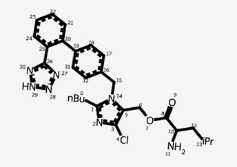 CCCCc1nc(Cl)c(COC(=O)C(N)CC(C)C)n1Cc1ccc(-c2ccccc2-c2nn[nH]n2)cc1